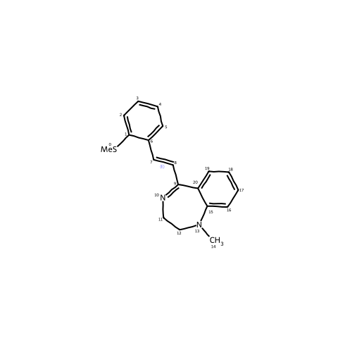 CSc1ccccc1/C=C/C1=NCCN(C)c2ccccc21